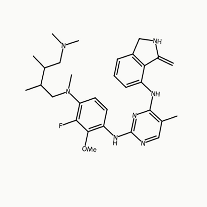 C=C1NCc2cccc(Nc3nc(Nc4ccc(N(C)CC(C)C(C)CN(C)C)c(F)c4OC)ncc3C)c21